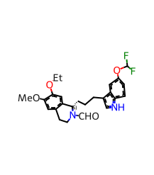 CCOc1cc2c(cc1OC)CCN(C=O)[C@H]2CCCc1c[nH]c2ccc(OC(F)F)cc12